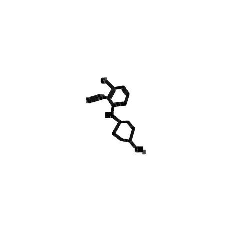 CC1CCC(Nc2cccc(Cl)c2[N+]#N)CC1